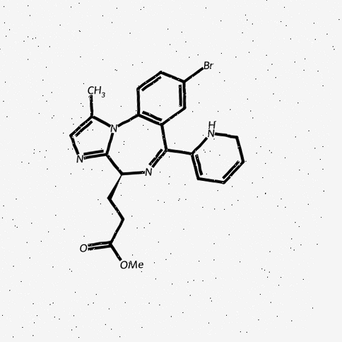 COC(=O)CC[C@@H]1N=C(C2=CC=CCN2)c2cc(Br)ccc2-n2c(C)cnc21